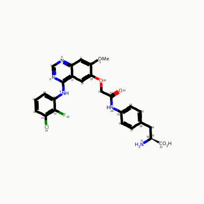 COc1cc2ncnc(Nc3cccc(Cl)c3F)c2cc1OCC(=O)Nc1ccc(C[C@H](N)C(=O)O)cc1